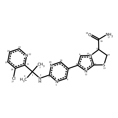 CC(C)(Nc1ncc(-c2cn3c(n2)SCC3C(N)=O)cn1)c1ncccc1Cl